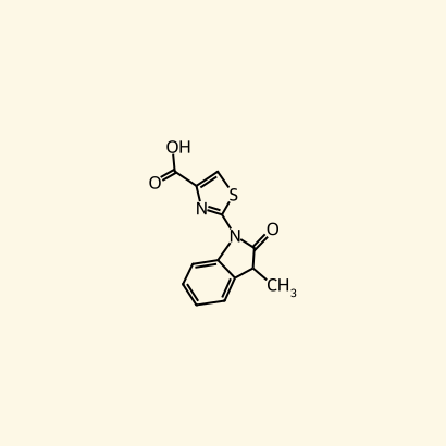 CC1C(=O)N(c2nc(C(=O)O)cs2)c2ccccc21